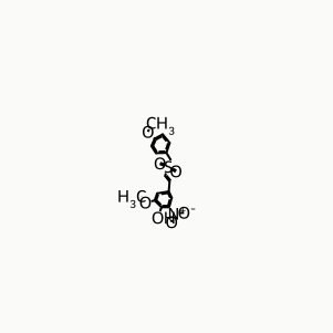 COc1ccc(CS(=O)(=O)/C=C/c2cc(OC)c(O)c([N+](=O)[O-])c2)cc1